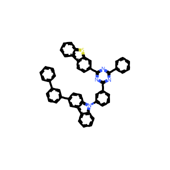 c1ccc(-c2cccc(-c3ccc4c(c3)c3ccccc3n4-c3cccc(-c4nc(-c5ccccc5)nc(-c5ccc6c(c5)sc5ccccc56)n4)c3)c2)cc1